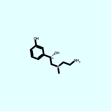 CN(CCN)C[C@@H](O)c1cccc(O)c1